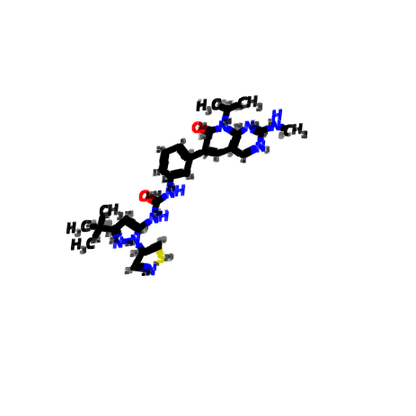 CNc1ncc2cc(-c3cccc(NC(=O)Nc4cc(C(C)(C)C)nn4-c4cnsc4)c3)c(=O)n(C(C)C)c2n1